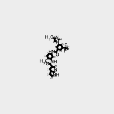 Cc1cn(-c2cc(C(=O)Nc3ccc(C)c(NC(=O)c4cnc5[nH]ccc5c4)c3)cc(C(F)(F)F)c2)cn1